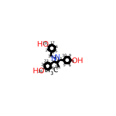 CCc1c(-c2ccc(O)cc2)nn(Cc2cccc(O)c2)c1-c1ccc(O)cc1